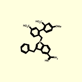 COc1ccc(-c2cc(C(=O)O)ccc2Cn2cc(Cc3ccccc3)c3cc(C(=N)N)ccc32)c(C(=O)O)c1